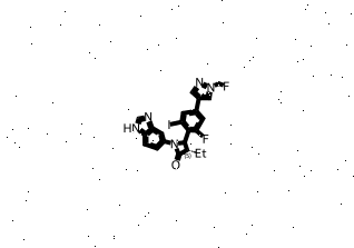 CC[C@@H]1C(=O)N(c2ccc3[nH]cnc3c2)C1c1c(F)cc(-c2cnn(CF)c2)cc1I